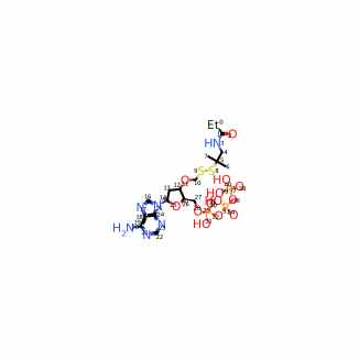 CCC(=O)NCC(C)(C)SSCOC1C[C@H](n2cnc3c(N)ncnc32)O[C@@H]1COP(=O)(O)OP(=O)(O)OP(=O)(O)O